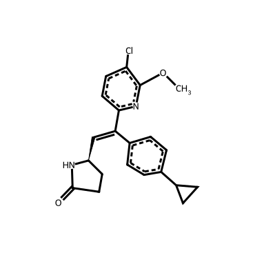 COc1nc(/C(=C/[C@H]2CCC(=O)N2)c2ccc(C3CC3)cc2)ccc1Cl